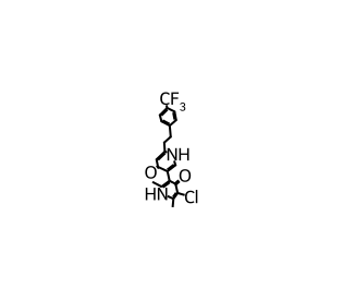 Cc1[nH]c(C)c(-c2c[nH]c(CCc3ccc(C(F)(F)F)cc3)cc2=O)c(=O)c1Cl